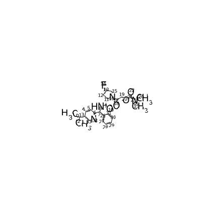 CC(C)c1ccc([C@@H](NC(=O)[C@@H]2C[C@@H](F)CN2C(=O)COC(=O)N(C)C)c2ccccc2)nc1